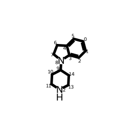 c1ccc2c(c1)CCN2C1CCNCC1